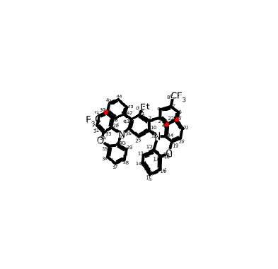 CCc1c(-c2cccc(C(F)(F)F)c2)c(N2c3ccccc3Oc3ccccc32)cc(N2c3ccccc3Oc3ccccc32)c1-c1cccc(C(F)(F)F)c1